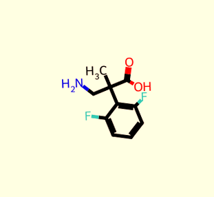 CC(CN)(C(=O)O)c1c(F)cccc1F